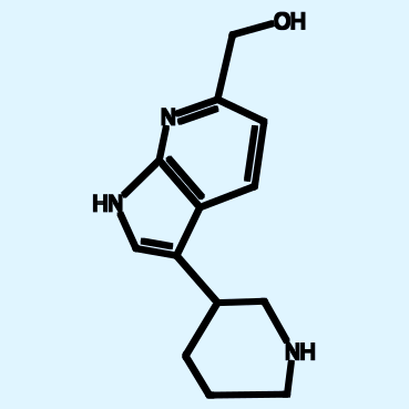 OCc1ccc2c(C3CCCNC3)c[nH]c2n1